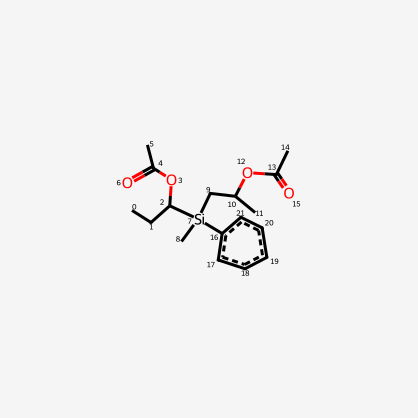 CCC(OC(C)=O)[Si](C)(CC(C)OC(C)=O)c1ccccc1